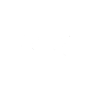 Bc1c(B)c(B)c2c([nH]c3ccc(-n4c5ccccc5c5c(B)c(B)c(B)c(B)c54)cc32)c1B